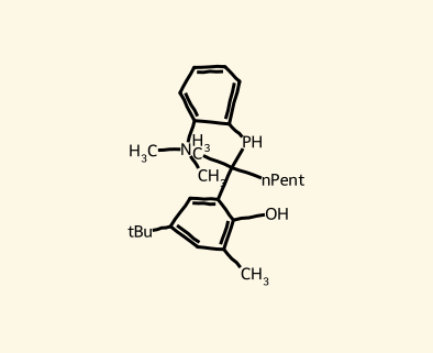 CCCCCC(C)(Pc1ccccc1N(C)C)c1cc(C(C)(C)C)cc(C)c1O